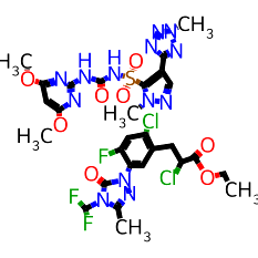 CCOC(=O)C(Cl)Cc1cc(-n2nc(C)n(C(F)F)c2=O)c(F)cc1Cl.COc1cc(OC)nc(NC(=O)NS(=O)(=O)c2c(-c3nnn(C)n3)cnn2C)n1